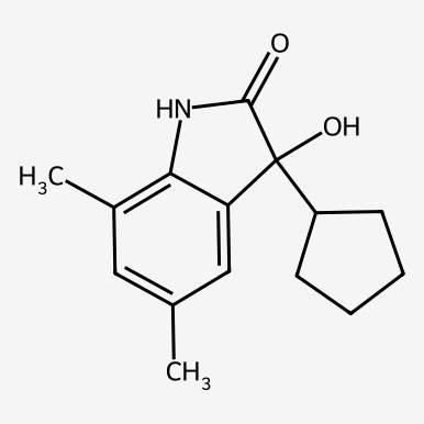 Cc1cc(C)c2c(c1)C(O)(C1CCCC1)C(=O)N2